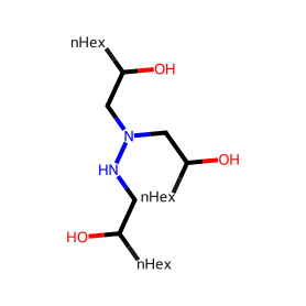 CCCCCCC(O)CNN(CC(O)CCCCCC)CC(O)CCCCCC